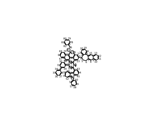 Cc1cc(C2CCc3cc4ccccc4cc3-c3ccccc32)cc(-c2nc(-c3cccc(-c4ccccc4)c3)nc(-c3cccc4c3c3ccccc3n4-c3ccccc3)n2)c1-c1ccc2ccccc2c1C(=O)OCc1ccccc1